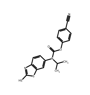 CC(C)N(C(=O)Oc1ccc(C#N)cc1)c1ccc2nc(S)sc2c1